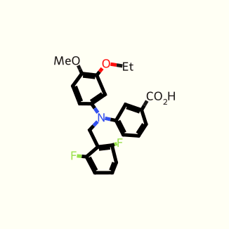 CCOc1cc(N(Cc2c(F)cccc2F)c2cccc(C(=O)O)c2)ccc1OC